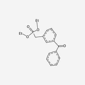 CCOP(=O)(Cc1cccc(C(=O)c2ccccc2)c1)OCC